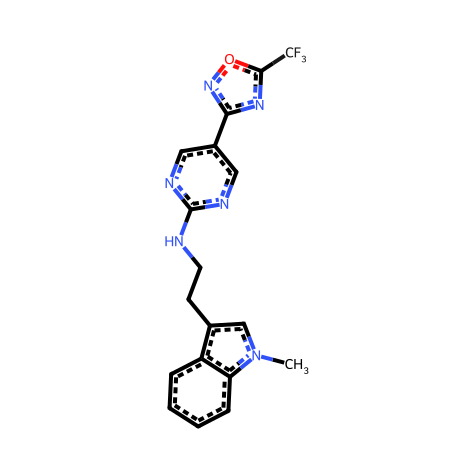 Cn1cc(CCNc2ncc(-c3noc(C(F)(F)F)n3)cn2)c2ccccc21